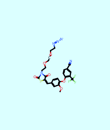 COc1cc(C=C2SC(=O)N(CCOCCOCCN=[N+]=[N-])C2=O)ccc1Oc1ccc(C#N)cc1C(F)(F)F